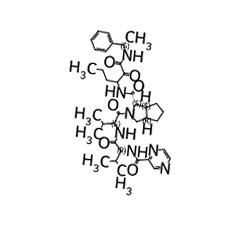 CCCC(NC(=O)[C@@H]1[C@H]2CCC[C@H]2CN1C(=O)[C@@H](NC(=O)[C@H](NC(=O)c1cnccn1)C(C)C)C(C)C)C(=O)C(=O)N[C@@H](C)c1ccccc1